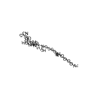 CC(=O)CCOCCOCCOCCOCCn1cc(COCCOCCOCCOCCN(CCCNC(=O)c2ncn(-c3ncc(O)c4c(C(=O)C(=O)N5CCC(=C(C#N)c6ccccc6)CC5)c[nH]c34)n2)C2CC(O)C2)nn1